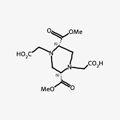 COC(=O)[C@@H]1CN(CC(=O)O)[C@H](C(=O)OC)CN1CC(=O)O